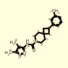 Cc1cccc(C2CC3(CCN(C(=O)Nc4onc(C)c4C)CC3)C2)c1